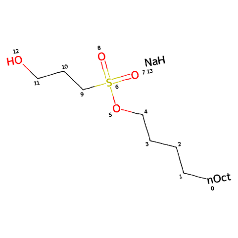 CCCCCCCCCCCCOS(=O)(=O)CCCO.[NaH]